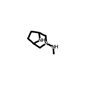 CNN1CC2CCC(C1)N2